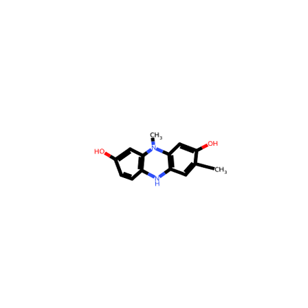 Cc1cc2c(cc1O)N(C)c1cc(O)ccc1N2